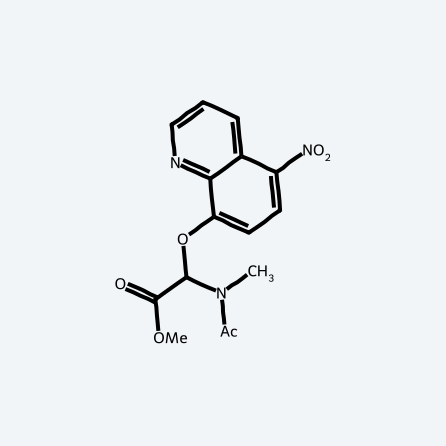 COC(=O)C(Oc1ccc([N+](=O)[O-])c2cccnc12)N(C)C(C)=O